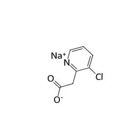 O=C([O-])Cc1ncccc1Cl.[Na+]